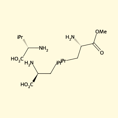 CC(C)C[C@H](N)C(=O)O.CC(C)[C@H](N)C(=O)O.COC(=O)[C@@H](N)CC(C)C